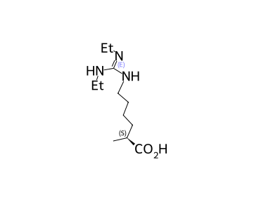 CC/N=C(\NCC)NCCCC[C@H](C)C(=O)O